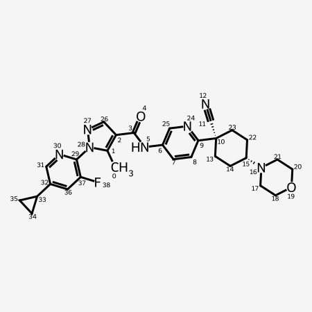 Cc1c(C(=O)Nc2ccc([C@]3(C#N)CC[C@@H](N4CCOCC4)CC3)nc2)cnn1-c1ncc(C2CC2)cc1F